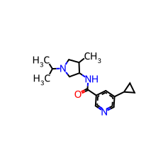 CC1CN(C(C)C)CC1NC(=O)c1cncc(C2CC2)c1